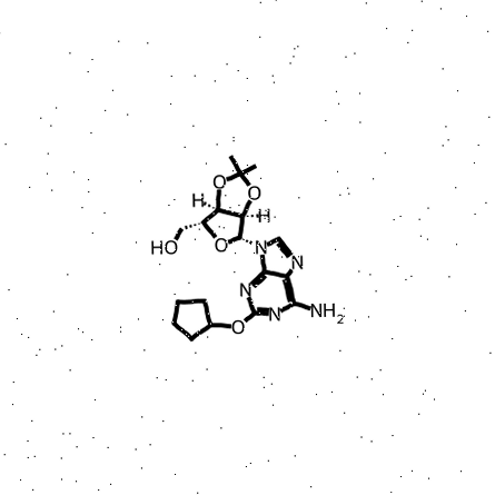 CC1(C)O[C@@H]2[C@H](O1)[C@@H](CO)O[C@H]2n1cnc2c(N)nc(OC3CCCC3)nc21